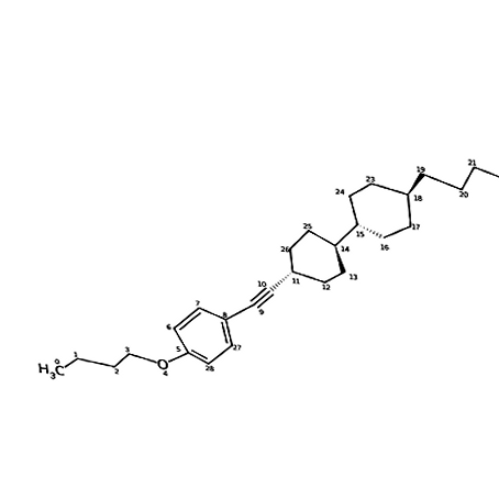 CCCCOc1ccc(C#C[C@H]2CC[C@H]([C@H]3CC[C@H](CCCC)CC3)CC2)cc1